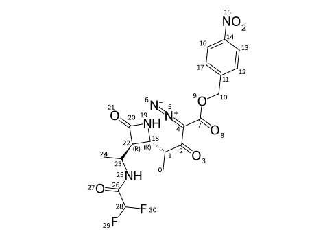 CC(C(=O)C(=[N+]=[N-])C(=O)OCc1ccc([N+](=O)[O-])cc1)[C@H]1NC(=O)[C@@H]1C(C)NC(=O)C(F)F